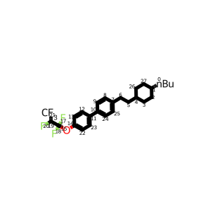 CCCCC1CCC(CCc2ccc(-c3ccc(OC(F)(F)C(F)C(F)(F)F)cc3)cc2)CC1